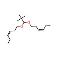 CC/C=C\CCOC(OCC/C=C\CC)C(C)(C)C